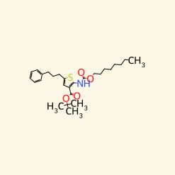 CCCCCCCCOC(=O)Nc1sc(CCCc2ccccc2)cc1C(=O)OC(C)(C)C